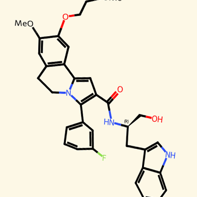 COCCOc1cc2c(cc1OC)CCn1c-2cc(C(=O)N[C@@H](CO)Cc2c[nH]c3ccccc23)c1-c1cccc(F)c1